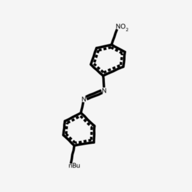 CCCCc1ccc(N=Nc2ccc([N+](=O)[O-])cc2)cc1